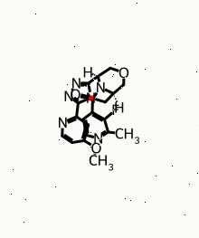 COc1ccnc(-c2nnc3n2C[C@@H]2COC[C@H]3N2C(=O)c2ccnc(C)c2F)c1